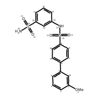 COc1cccc(-c2ccc(S(=O)(=O)Nc3cccc(S(N)(=O)=O)c3)cc2)c1